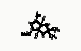 CO[C@@H]1O[C@H](C(C)=O)[C@H]2OC(C)(C)O[C@@H]12